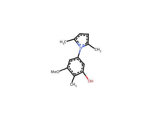 COc1cc(-n2c(C)ccc2C)cc(O)c1C